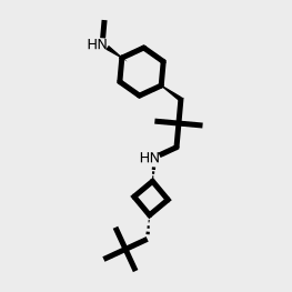 CN[C@H]1CC[C@@H](CC(C)(C)CN[C@H]2C[C@@H](CC(C)(C)C)C2)CC1